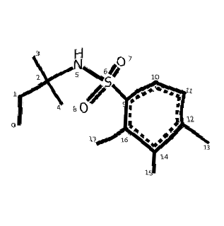 CCC(C)(C)NS(=O)(=O)c1ccc(C)c(C)c1C